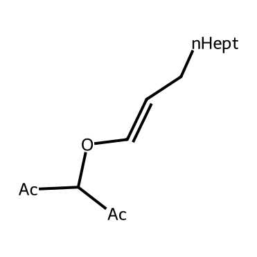 CCCCCCCCC=COC(C(C)=O)C(C)=O